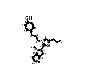 CCCc1cn(CCCc2ccc(O)cc2)c(-c2cc3sccc3n2C)n1